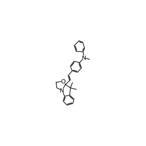 CN(c1ccccc1)c1ccc(C=CC23OCCN2c2ccccc2C3(C)C)cc1